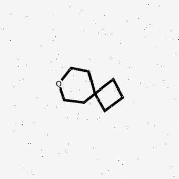 C1CC2(C1)CCOCC2